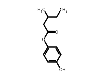 CCC(C)CC(=O)Oc1ccc(O)cc1